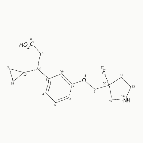 O=C(O)CC(c1cccc(OCC2(F)CCNC2)c1)C1CC1